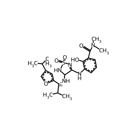 CC(C)c1coc([C@H](NC2NS(=O)(=O)N=C2Nc2cccc(C(=O)N(C)C)c2O)C(C)C)c1